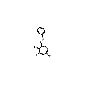 O=c1c(F)cc(F)ccc1OCc1ccccc1